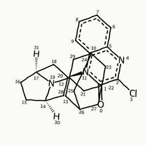 O=c1c(Cl)nc2ccccc2n1[C@H]1C[C@H]2CC[C@@H](C1)N2C12CC3CC(CC(C3)C1)C2